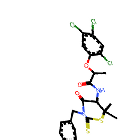 CC(Oc1cc(Cl)c(Cl)cc1Cl)C(=O)NC1C(=O)N(Cc2ccccc2)C(=S)SC1(C)C